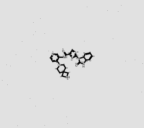 O=C(Nc1cnccc1N1CCC2(CC1)CNC2)c1csc(N2C(=O)NC3C=CC=CC32)n1